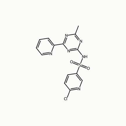 Cc1nc(NS(=O)(=O)c2ccc(Cl)nc2)nc(-c2ccccn2)n1